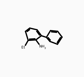 CCc1cccc(-c2ccccc2)c1N